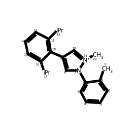 Cc1ccccc1-n1cc(-c2c(C(C)C)cccc2C(C)C)c[n+]1C